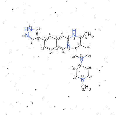 C=C(Nc1cc2cc(-c3cn[nH]c3)ccc2cn1)C1CCN(C2CCN(C)CC2)CC1